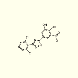 O=[N+]([O-])c1cc(-c2nnn(-c3c(Cl)cncc3Cl)n2)cc(O)c1O